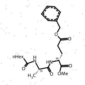 CCCCCCC(=O)N[C@@H](C)C(=O)N[C@H](CCC(=O)OCc1ccccc1)C(=O)OC